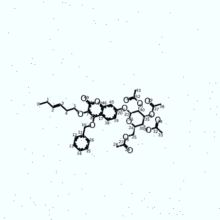 CC/C=C/CCOc1c(OCc2ccccc2)c2ccc(O[C@@H]3O[C@H](COC(C)=O)[C@@H](OC(C)=O)[C@H](OC(C)=O)[C@H]3OC(C)=O)cc2oc1=O